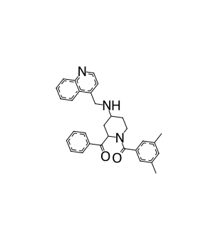 Cc1cc(C)cc(C(=O)N2CCC(NCc3ccnc4ccccc34)CC2C(=O)c2ccccc2)c1